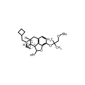 CCCC1Oc2c(OC(C)(C)COC(C)(C)C)ccc3c2[C@@]12CCN(CC1CCC1)[C@H](C3)[C@@]2(C)O